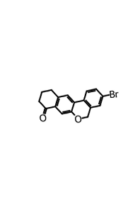 O=C1CCCc2cc3c(cc21)OCc1cc(Br)ccc1-3